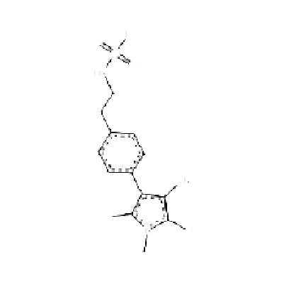 CCc1c(C#N)c(-c2ccc(CCNS(=O)(=O)CC)cc2)c(C(=O)O)n1C